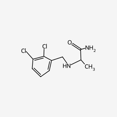 CC(NCc1cccc(Cl)c1Cl)C(N)=O